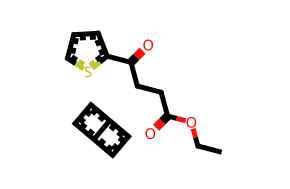 CCOC(=O)CCC(=O)c1cccs1.c1cc2ccc1-2